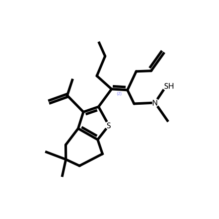 C=CC/C(CN(C)S)=C(\CCC)c1sc2c(c1C(=C)C)CC(C)(C)CC2